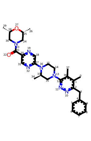 Cc1c(Cc2ccccc2)nnc(N2CCN(c3cnc(C(=O)N4C[C@@H](C)O[C@@H](C)C4)cn3)[C@H](C)C2)c1C